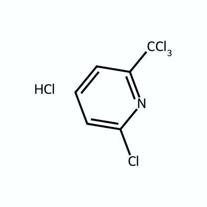 Cl.Clc1cccc(C(Cl)(Cl)Cl)n1